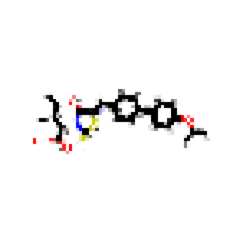 CC[C@H](C)[C@@H](C(=O)O)N1C(=O)/C(=C/c2ccc(-c3ccc(OC(C)C)cc3)cc2)SC1=S